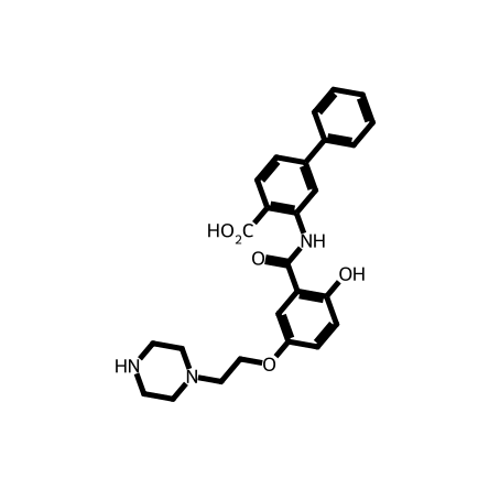 O=C(Nc1cc(-c2ccccc2)ccc1C(=O)O)c1cc(OCCN2CCNCC2)ccc1O